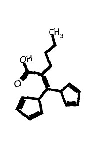 CCCCC(C(=O)O)=C(C1C=CC=C1)C1C=CC=C1